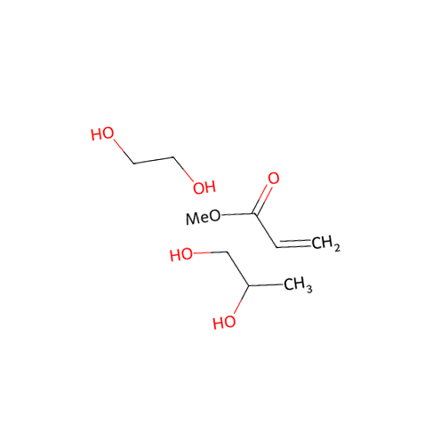 C=CC(=O)OC.CC(O)CO.OCCO